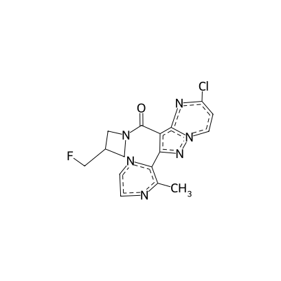 Cc1nccnc1-c1nn2ccc(Cl)nc2c1C(=O)N1CC(CF)C1